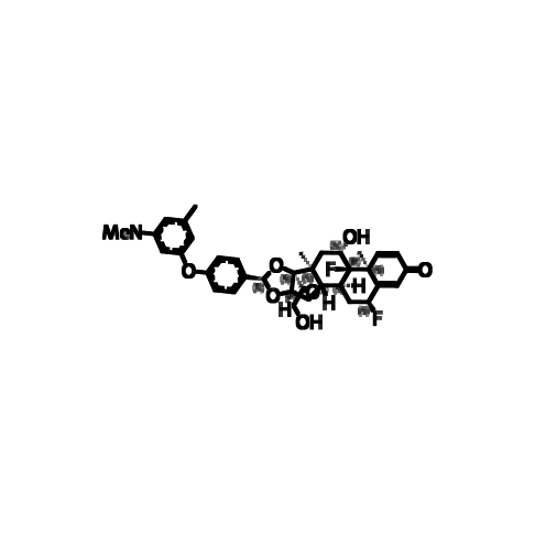 CNc1cc(C)cc(Oc2ccc([C@@H]3O[C@@H]4C[C@H]5[C@@H]6C[C@H](F)C7=CC(=O)C=C[C@]7(C)[C@@]6(F)[C@@H](O)C[C@]5(C)[C@]4(C(=O)CO)O3)cc2)c1